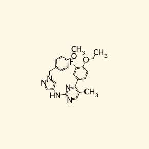 CCOc1ccc(-c2nc(Nc3cnn(Cc4ccc(OC)cc4)c3)ncc2C)cc1F